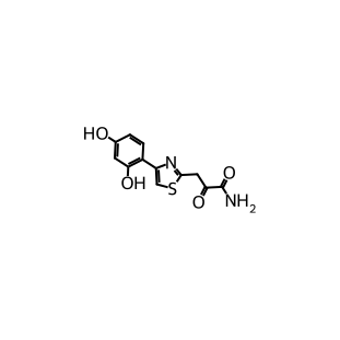 NC(=O)C(=O)Cc1nc(-c2ccc(O)cc2O)cs1